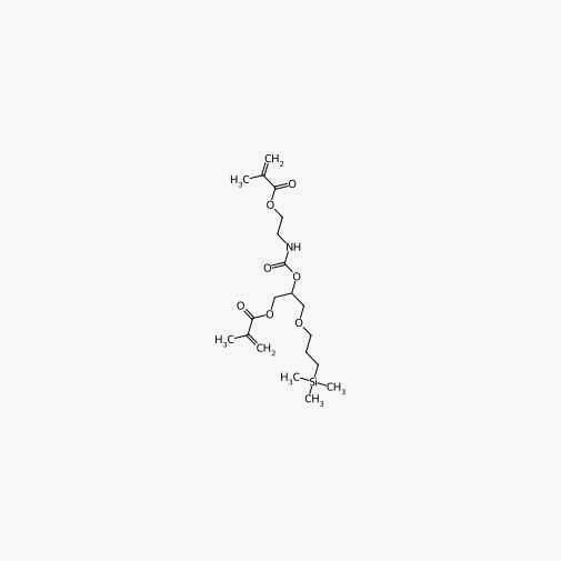 C=C(C)C(=O)OCCNC(=O)OC(COCCC[Si](C)(C)C)COC(=O)C(=C)C